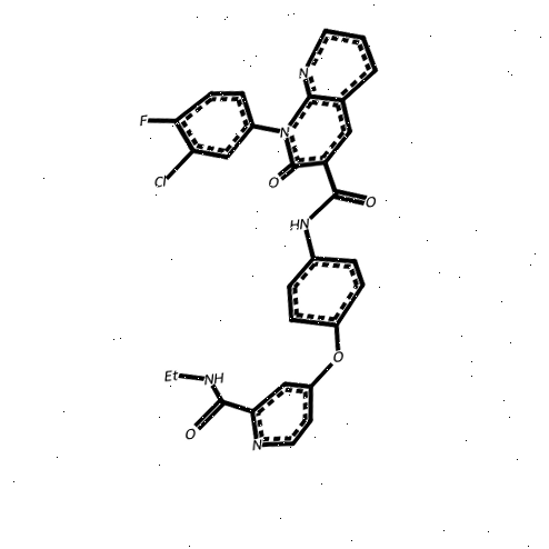 CCNC(=O)c1cc(Oc2ccc(NC(=O)c3cc4cccnc4n(-c4ccc(F)c(Cl)c4)c3=O)cc2)ccn1